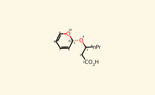 CCCC(CC(=O)O)O[C@@H]1C=CC=CO1